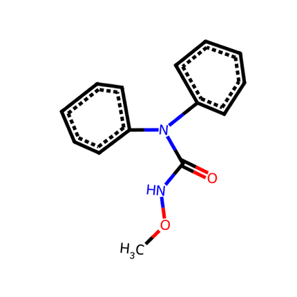 CONC(=O)N(c1ccccc1)c1ccccc1